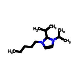 CCCCCN1C=CN(C(C)C)C1C(C)C